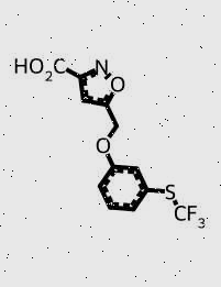 O=C(O)c1cc(COc2cccc(SC(F)(F)F)c2)on1